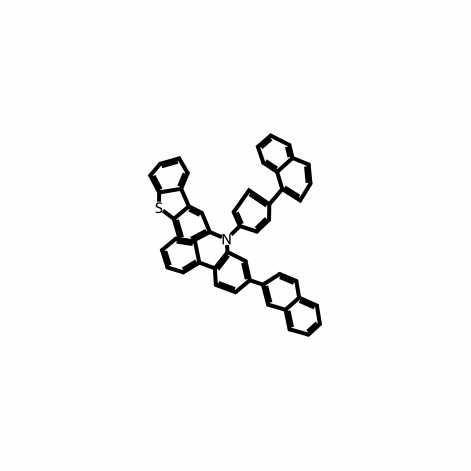 c1ccc(-c2ccc(-c3ccc4ccccc4c3)cc2N(c2ccc(-c3cccc4ccccc34)cc2)c2ccc3sc4ccccc4c3c2)cc1